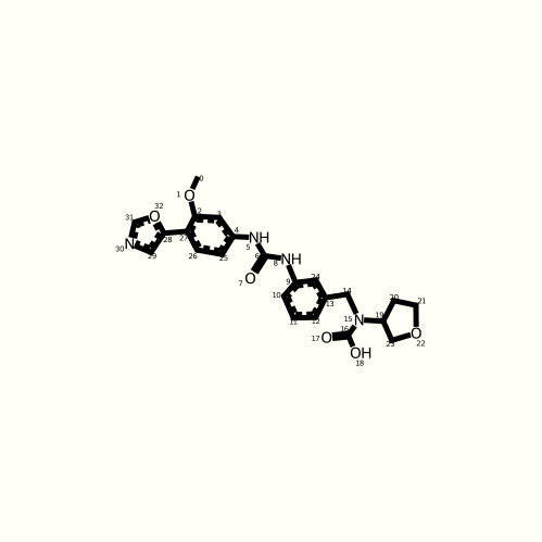 COc1cc(NC(=O)Nc2cccc(CN(C(=O)O)C3CCOC3)c2)ccc1-c1cnco1